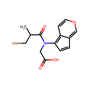 CC(CS)C(=O)N(CC(=O)O)c1ccc2coccc1-2